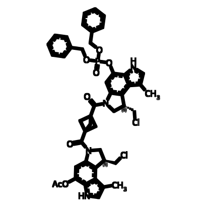 CC(=O)Oc1cc2c(c3c(C)c[nH]c13)[C@H](CCl)CN2C(=O)C12CC(C(=O)N3C[C@@H](CCl)c4c3cc(OP(=O)(OCc3ccccc3)OCc3ccccc3)c3[nH]cc(C)c43)(C1)C2